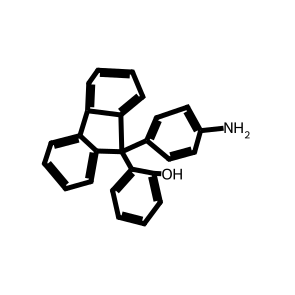 Nc1ccc(C2(c3ccccc3O)c3ccccc3-c3ccccc32)cc1